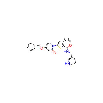 Cc1cc(-n2ccc(OCc3ccccc3)cc2=O)sc1C(=O)NCC1=CNCC=C1